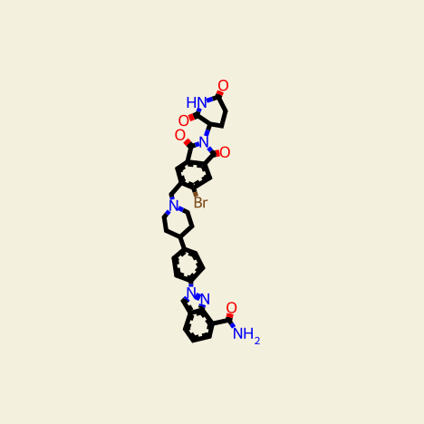 NC(=O)c1cccc2cn(-c3ccc(C4CCN(Cc5cc6c(cc5Br)C(=O)N(C5CCC(=O)NC5=O)C6=O)CC4)cc3)nc12